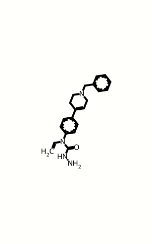 C=CN(C(=O)NN)c1ccc(C2=CCN(Cc3ccccc3)CC2)cc1